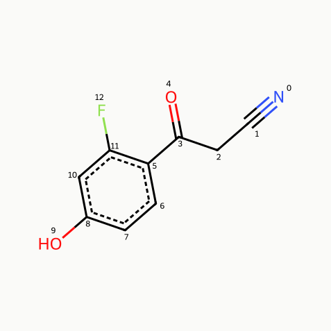 N#CCC(=O)c1ccc(O)cc1F